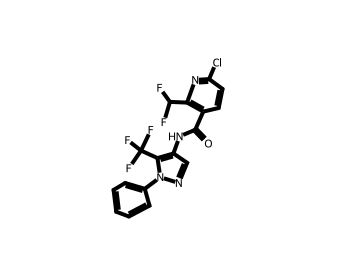 O=C(Nc1cnn(-c2ccccc2)c1C(F)(F)F)c1ccc(Cl)nc1C(F)F